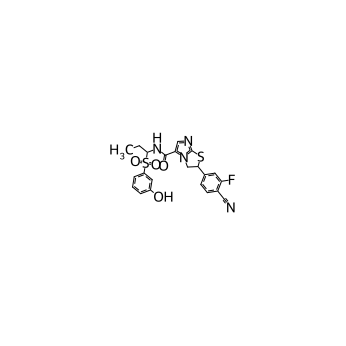 CCC(NC(=O)c1cnc2n1CC(c1ccc(C#N)c(F)c1)S2)S(=O)(=O)c1cccc(O)c1